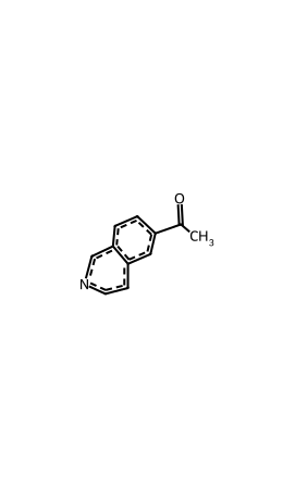 CC(=O)c1ccc2cnccc2c1